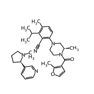 CN1CCC[C@@H]1c1cccnc1.Cc1ccc(N2CCN(C(=O)c3ccoc3C)[C@H](C)C2)c(C#N)c1C(C)C